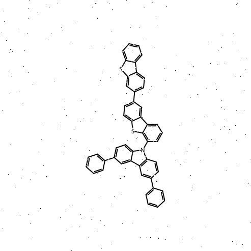 c1ccc(-c2ccc3c(c2)c2cc(-c4ccccc4)ccc2n3-c2cccc3c2sc2ccc(-c4ccc5c(c4)sc4ccccc45)cc23)cc1